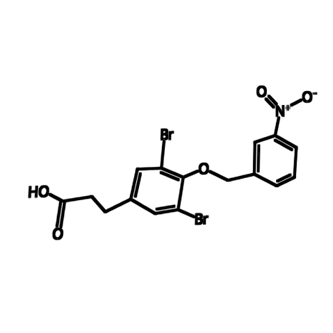 O=C(O)CCc1cc(Br)c(OCc2cccc([N+](=O)[O-])c2)c(Br)c1